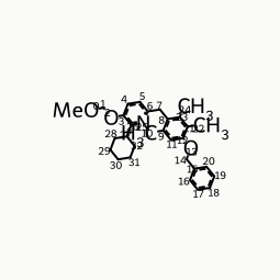 COCOc1ccc(Cc2c(C)cc(OCc3ccccc3)c(C)c2C)nc1C1CCCCC1